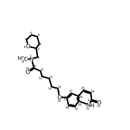 CN(CC1CCCCO1)C(=O)CCCCCOc1ccc2[nH]c(=O)ccc2c1